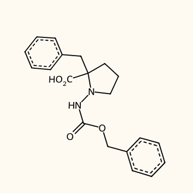 O=C(NN1CCCC1(Cc1ccccc1)C(=O)O)OCc1ccccc1